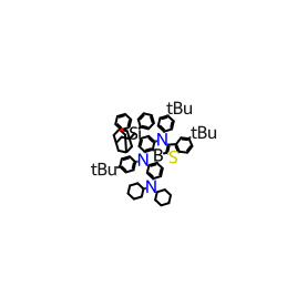 CC(C)(C)c1ccc(N2c3cc(N(C4CCCCC4)C4CCCCC4)ccc3B3c4sc5ccc(C(C)(C)C)cc5c4N(c4ccc(C(C)(C)C)cc4)c4cc([Si](c5ccccc5)(c5ccccc5)C56CC7CC(CC(C7)C5)C6)cc2c43)cc1